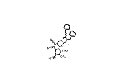 CC(=O)O[C@H]1C(N=[N+]=[N-])CC(N=[N+]=[N-])C([C@H]2O[C@H]([C@@H](C)N(Cc3ccccc3)C(=O)OCc3ccccc3)CCC2N=[N+]=[N-])[C@@H]1OC(C)=O